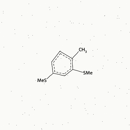 CSc1ccc(C)c(SC)c1